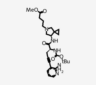 COC(=O)CCCN1C[C@H](NC(=O)[C@H](CC#Cc2cccnc2N)NC(=O)OC(C)(C)C)C2(CC2)C1